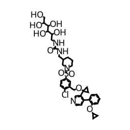 O=C(NCC1CCCN(S(=O)(=O)c2ccc(Cl)c(COC3(c4cnccc4-c4ccccc4OC4CC4)CC3)c2)C1)NCC(O)C(O)C(O)C(O)CO